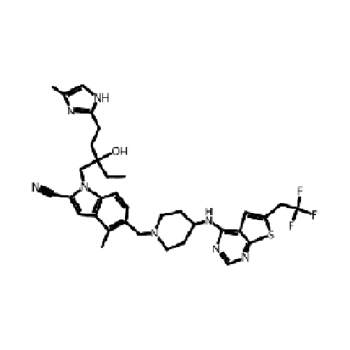 CCC(O)(CCc1nc(C)c[nH]1)Cn1c(C#N)cc2c(C)c(CN3CCC(Nc4ncnc5sc(CC(F)(F)F)cc45)CC3)ccc21